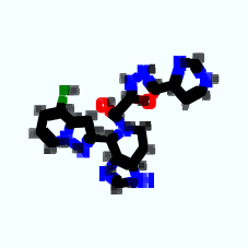 O=C(c1nnc(-c2ccncn2)o1)N1CCc2[nH]cnc2[C@H]1c1cc2c(F)cccn2n1